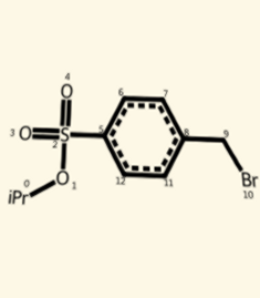 CC(C)OS(=O)(=O)c1ccc(CBr)cc1